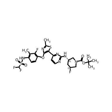 Cc1nc(Oc2ccc(NS(=O)(=O)C(F)F)c(C)c2F)c(-c2ccnc(N[C@H]3C[C@H](F)CN(C(=O)OC(C)(C)C)C3)n2)s1